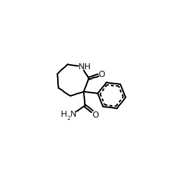 NC(=O)C1(c2ccccc2)CCCCNC1=O